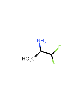 N[C@H](C(=O)O)C(F)F